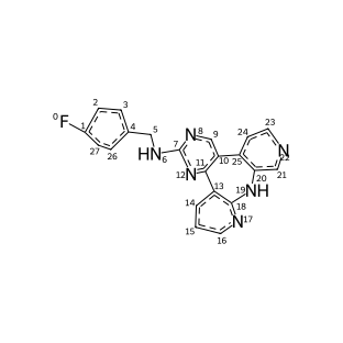 Fc1ccc(CNc2ncc3c(n2)-c2cccnc2Nc2cnccc2-3)cc1